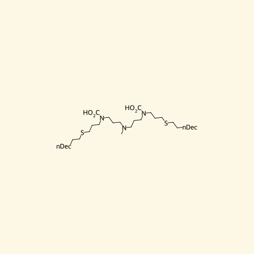 CCCCCCCCCCCCSCCCN(CCCN(C)CCCN(CCCSCCCCCCCCCCCC)C(=O)O)C(=O)O